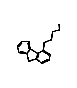 CCCCCc1cc[c]c2c1-c1ccccc1C2